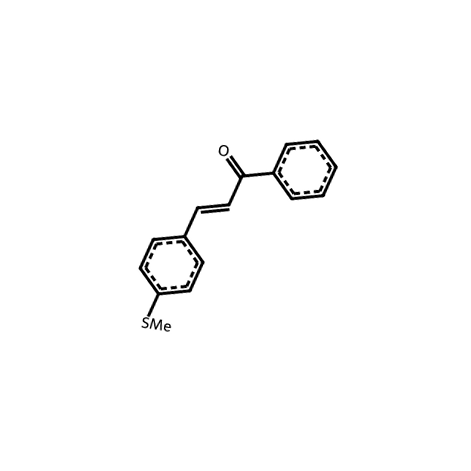 CSc1ccc(C=CC(=O)c2ccccc2)cc1